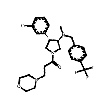 CN(Cc1ccc(C(F)(F)F)cc1)[C@H]1CN(C(=O)CCN2CCOCC2)C[C@@H]1c1cccc(Cl)c1